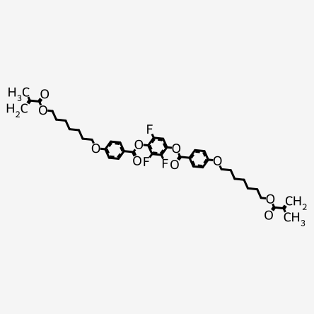 C=C(C)C(=O)OCCCCCCCOc1ccc(C(=O)Oc2cc(F)c(OC(=O)c3ccc(OCCCCCCCOC(=O)C(=C)C)cc3)c(F)c2F)cc1